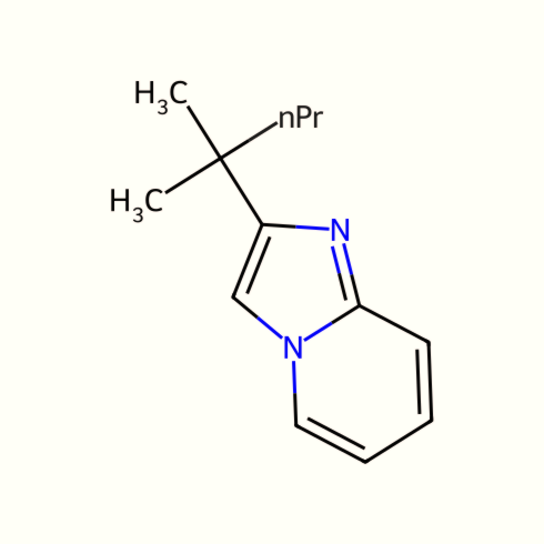 CCCC(C)(C)c1cn2ccccc2n1